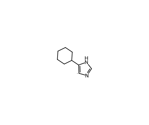 [c]1nc[nH]c1C1CCCCC1